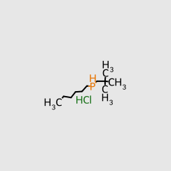 CCCCCCPCC(C)(C)C.Cl